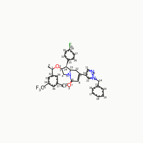 C[C@@H](OC1CN2C(=O)C=C(c3cnn(Cc4ccccc4)c3)CC2[C@@H]1c1ccc(F)cc1)c1cc(C(F)(F)F)cc(C(F)(F)F)c1